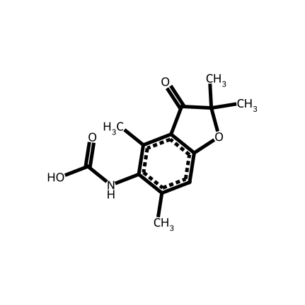 Cc1cc2c(c(C)c1NC(=O)O)C(=O)C(C)(C)O2